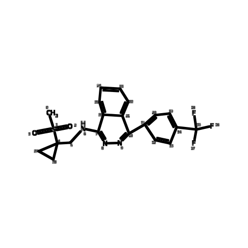 CS(=O)(=O)C1(CNc2nnc(-c3ccc(C(F)(F)F)cc3)c3ccccc23)CC1